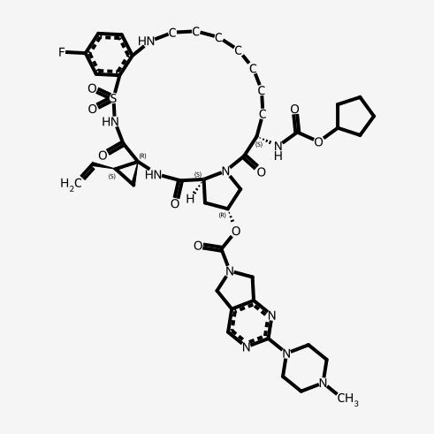 C=C[C@@H]1C[C@@]12NC(=O)[C@@H]1C[C@@H](OC(=O)N3Cc4cnc(N5CCN(C)CC5)nc4C3)CN1C(=O)[C@@H](NC(=O)OC1CCCC1)CCCCCCCNc1ccc(F)cc1S(=O)(=O)NC2=O